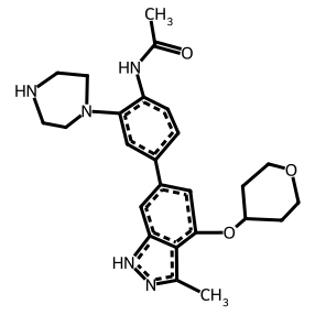 CC(=O)Nc1ccc(-c2cc(OC3CCOCC3)c3c(C)n[nH]c3c2)cc1N1CCNCC1